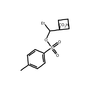 CCC(OS(=O)(=O)c1ccc(C)cc1)C1(C(=O)O)CCC1